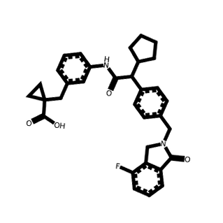 O=C(Nc1cccc(CC2(C(=O)O)CC2)c1)C(c1ccc(CN2Cc3c(F)cccc3C2=O)cc1)C1CCCC1